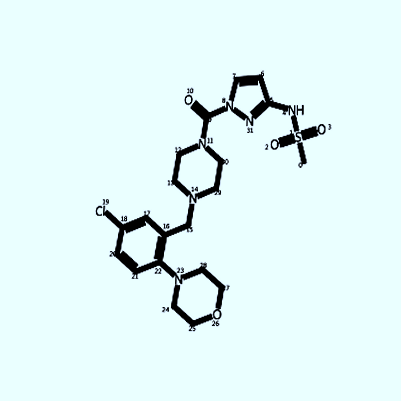 CS(=O)(=O)Nc1ccn(C(=O)N2CCN(Cc3cc(Cl)ccc3N3CCOCC3)CC2)n1